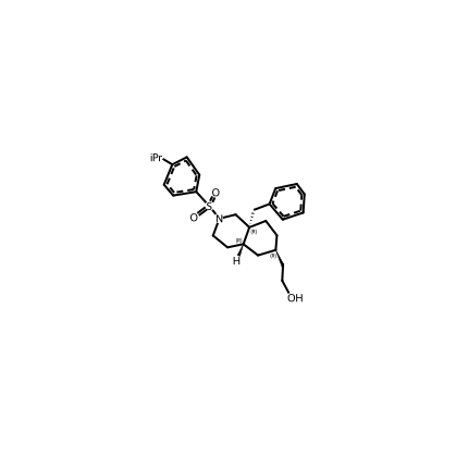 CC(C)c1ccc(S(=O)(=O)N2CC[C@H]3C[C@H](CCO)CC[C@]3(Cc3ccccc3)C2)cc1